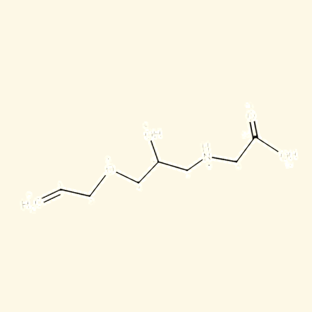 C=CCOCC(O)CNCC(=O)O